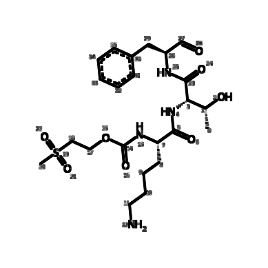 C[C@@H](O)[C@H](NC(=O)[C@H](CCCCN)NC(=O)OCCS(C)(=O)=O)C(=O)N[C@H]([C]=O)Cc1ccccc1